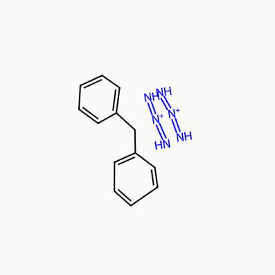 N=[N+]=N.N=[N+]=N.c1ccc(Cc2ccccc2)cc1